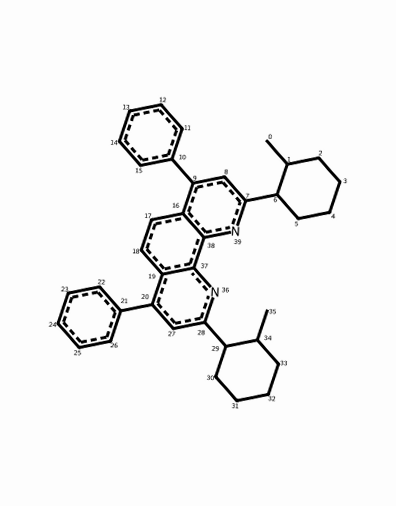 CC1CCCCC1c1cc(-c2ccccc2)c2ccc3c(-c4ccccc4)cc(C4CCCCC4C)nc3c2n1